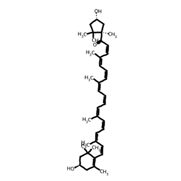 CC1=C(\C=C/C(C)=C\C=C/C(C)=C\C=C/C=C(C)\C=C/C=C(C)\C=C/C(=O)[C@]2(C)C[C@@H](O)CC2(C)C)C(C)(C)C[C@H](O)C1